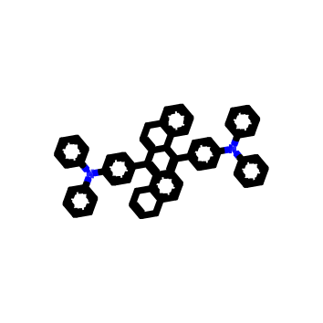 C1=CCc2c(ccc3c2=C(c2ccc(N(c4ccccc4)c4ccccc4)cc2)C2=CCc4ccccc4C2C=3c2ccc(N(c3ccccc3)c3ccccc3)cc2)C1